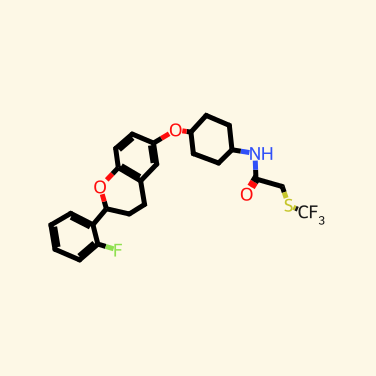 O=C(CSC(F)(F)F)NC1CCC(Oc2ccc3c(c2)CCC(c2ccccc2F)O3)CC1